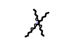 CCCCC/C(OCCCC)=C(\OCCCC)OCOCCCC